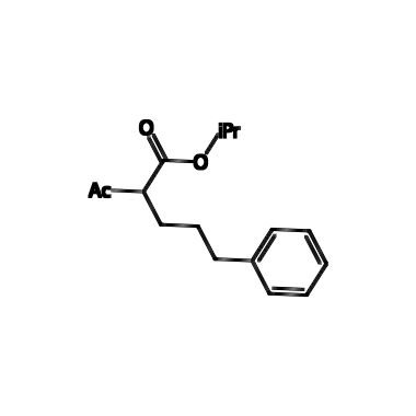 CC(=O)C(CCCc1ccccc1)C(=O)OC(C)C